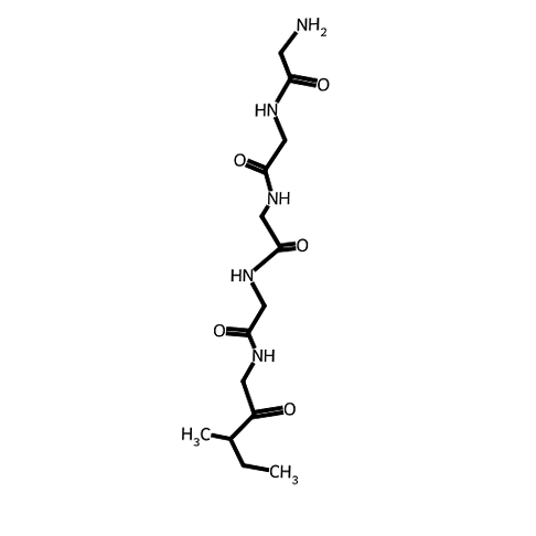 CCC(C)C(=O)CNC(=O)CNC(=O)CNC(=O)CNC(=O)CN